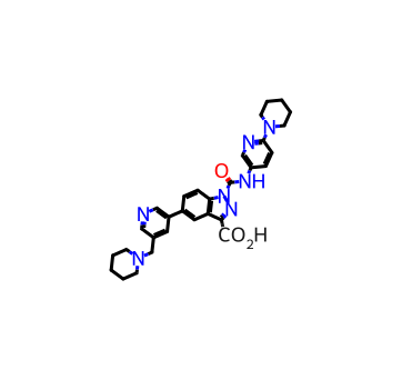 O=C(O)c1nn(C(=O)Nc2ccc(N3CCCCC3)nc2)c2ccc(-c3cncc(CN4CCCCC4)c3)cc12